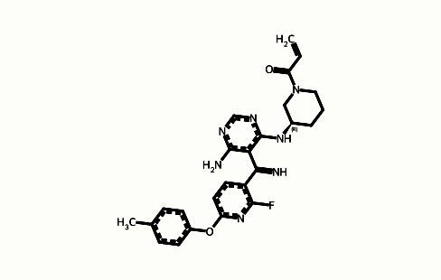 C=CC(=O)N1CCC[C@@H](Nc2ncnc(N)c2C(=N)c2ccc(Oc3ccc(C)cc3)nc2F)C1